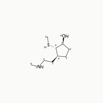 CNCC[C@@H]1CC[C@H](O)[C@H]1SC